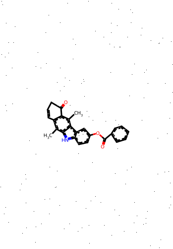 Cc1c2c(c(C)c3c1[nH]c1ccc(OC(=O)c4ccccc4)cc13)C(=O)CC=C2